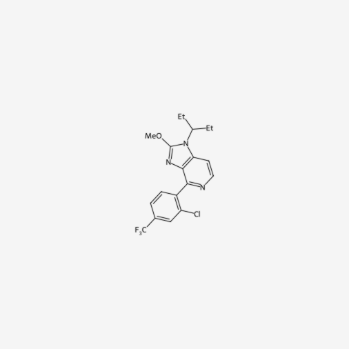 CCC(CC)n1c(OC)nc2c(-c3ccc(C(F)(F)F)cc3Cl)nccc21